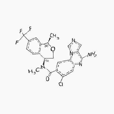 C[C@H]1OC[C@@H](N(C)C(=O)c2cc3c(cc2Cl)nc(N)c2cncn23)c2ccc(C(F)(F)F)cc21